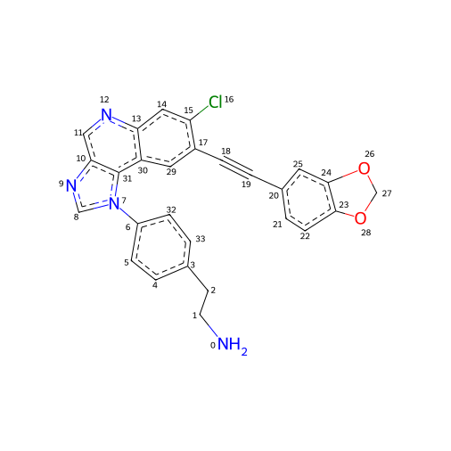 NCCc1ccc(-n2cnc3cnc4cc(Cl)c(C#Cc5ccc6c(c5)OCO6)cc4c32)cc1